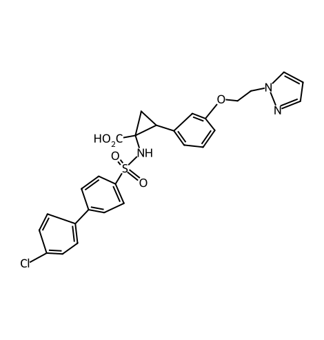 O=C(O)C1(NS(=O)(=O)c2ccc(-c3ccc(Cl)cc3)cc2)CC1c1cccc(OCCn2cccn2)c1